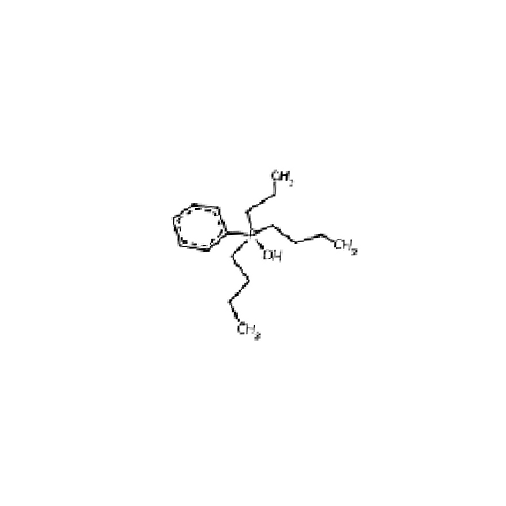 CCCCP(O)(CCC)(CCCC)c1ccccc1